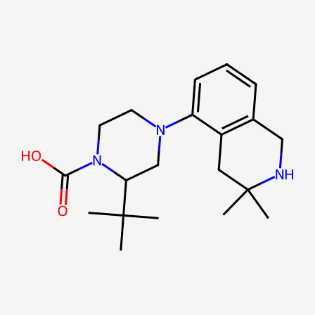 CC1(C)Cc2c(cccc2N2CCN(C(=O)O)C(C(C)(C)C)C2)CN1